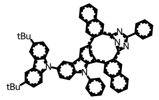 CC(C)(C)c1ccc2c(c1)c1cc(C(C)(C)C)ccc1n2-c1ccc2c(c1)c1cc3cc(c4cc5ccccc5cc4c4nc(-c5ccccc5)nc(n4)c4cc5ccccc5cc34)c1n2-c1ccccc1